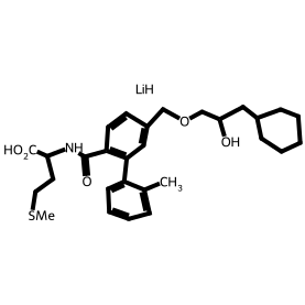 CSCCC(NC(=O)c1ccc(COCC(O)CC2CCCCC2)cc1-c1ccccc1C)C(=O)O.[LiH]